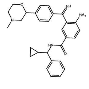 CN1CCOC(c2ccc(C(=N)c3cc(C(=O)NC(c4ccccc4)C4CC4)ccc3N)cc2)C1